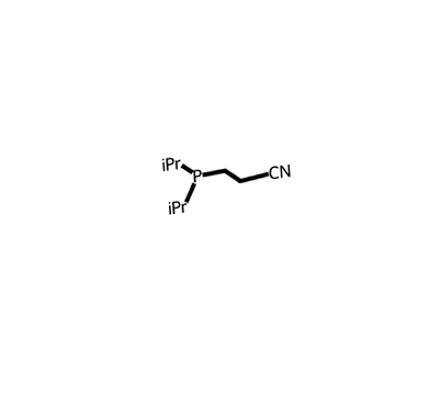 CC(C)P(CCC#N)C(C)C